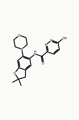 CC1(C)Cc2cc(NC(=O)c3ccc(O)nn3)c(N3CCOCC3)cc2O1